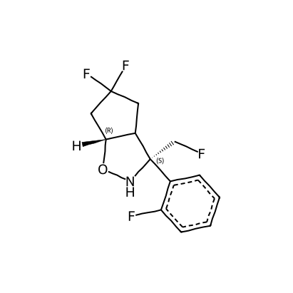 FC[C@]1(c2ccccc2F)NO[C@@H]2CC(F)(F)CC21